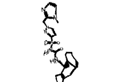 Cn1ccnc1Cn1ccc(S(=O)(=O)NC(=O)Nc2c3c(cc4c2CCC4)CCC3)n1